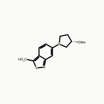 CO[C@H]1CCN(c2ccc3c(C(=O)O)snc3c2)C1